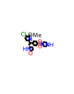 COc1nc(/C(=C/[C@H]2CCC(=O)N2)c2ccc(S(=O)(=O)N3CCNCC3)cc2)ccc1Cl